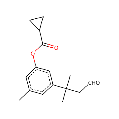 Cc1cc(OC(=O)C2CC2)cc(C(C)(C)CC=O)c1